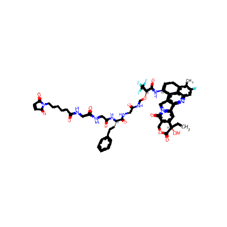 CC[C@@]1(O)C(=O)OCc2c1cc1n(c2=O)Cc2c-1nc1cc(F)c(C)c3c1c2[C@@H](NC(=O)[C@@H](OCNC(=O)CNC(=O)[C@H](CCc1ccccc1)NC(=O)CNC(=O)CNC(=O)CCCCCN1C(=O)C=CC1=O)C(F)(F)F)CC3